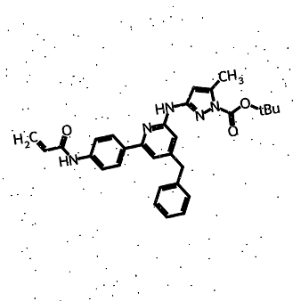 C=CC(=O)Nc1ccc(-c2cc(Cc3ccccc3)cc(Nc3cc(C)n(C(=O)OC(C)(C)C)n3)n2)cc1